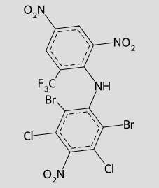 O=[N+]([O-])c1cc([N+](=O)[O-])c(Nc2c(Br)c(Cl)c([N+](=O)[O-])c(Cl)c2Br)c(C(F)(F)F)c1